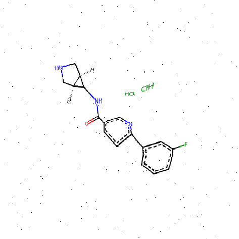 Cl.Cl.O=C(NC1[C@H]2CNC[C@@H]12)c1ccc(-c2cccc(F)c2)nc1